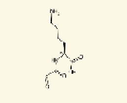 NCCCC[C@H](NC(=O)C=O)C(=O)O